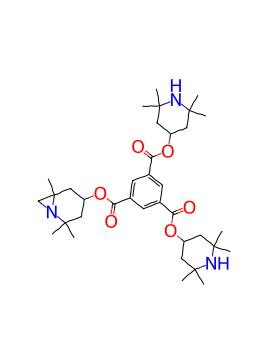 CC1(C)CC(OC(=O)c2cc(C(=O)OC3CC(C)(C)NC(C)(C)C3)cc(C(=O)OC3CC(C)(C)N4CC4(C)C3)c2)CC(C)(C)N1